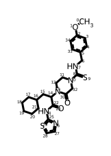 COc1ccc(CNC(=S)N2CCN(C(CC3CCCCC3)C(=O)Nc3nccs3)C(=O)C2)cc1